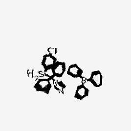 Clc1ccc([SiH2]C(c2ccccc2)(c2ccccc2)n2ccnc2)cc1.c1ccc(B(c2ccccc2)c2ccccc2)cc1